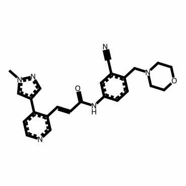 Cn1cc(-c2ccncc2/C=C/C(=O)Nc2ccc(CN3CCOCC3)c(C#N)c2)cn1